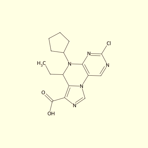 CCC1c2c(C(=O)O)ncn2-c2cnc(Cl)nc2N1C1CCCC1